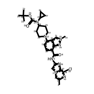 Cc1cn2cc(NC(=O)c3ccc(N4CCC(N(C(=O)OC(C)(C)C)C5CC5)CC4)c4cn(C)nc34)nc2c(Cl)n1